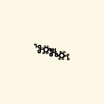 CCOC(=O)c1ccc(NC(=O)COc2ccc(CC)cc2)cc1